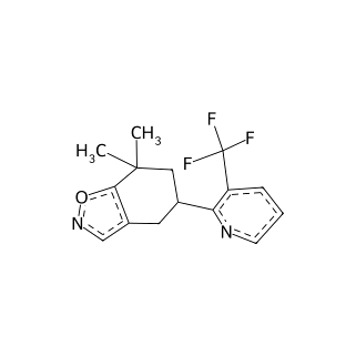 CC1(C)CC(c2ncccc2C(F)(F)F)Cc2cnoc21